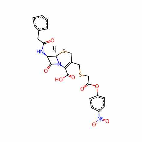 O=C(Cc1ccccc1)N[C@@H]1C(=O)N2C(C(=O)O)=C(CSCC(=O)Oc3ccc([N+](=O)[O-])cc3)CS[C@H]12